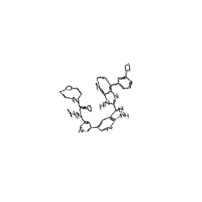 O=C(Nc1cncc(-c2cnc3[nH]nc(-c4nc5c(-c6cccc(Cl)c6)ccnc5[nH]4)c3c2)c1)N1CCOCC1